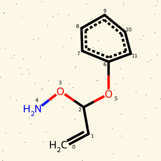 C=CC(ON)Oc1ccccc1